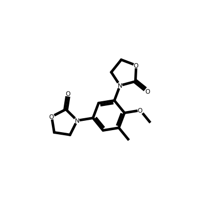 COc1c(C)cc(N2CCOC2=O)cc1N1CCOC1=O